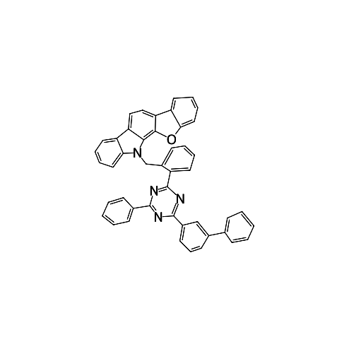 c1ccc(-c2cccc(-c3nc(-c4ccccc4)nc(-c4ccccc4Cn4c5ccccc5c5ccc6c7ccccc7oc6c54)n3)c2)cc1